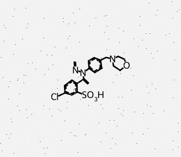 C=NN(C(=C)c1ccc(Cl)cc1S(=O)(=O)O)c1ccc(CN2CCOCC2)cc1